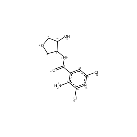 Nc1c(C(=O)NC2COCC2O)cc(Cl)nc1Cl